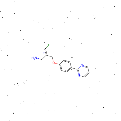 NC/C(=C/F)COc1ccc(-c2ncccn2)cc1